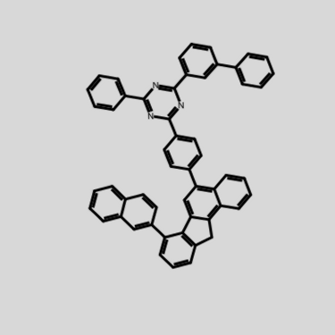 c1ccc(-c2cccc(-c3nc(-c4ccccc4)nc(-c4ccc(-c5cc6c(c7ccccc57)Cc5cccc(-c7ccc8ccccc8c7)c5-6)cc4)n3)c2)cc1